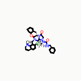 CN1CC=Cc2ccc(Cl)c(CN3C[C@H]4N(C(=O)CN4N(C)C(=O)NCc4ccccc4)[C@@H](Cc4ccccc4)C3=O)c21